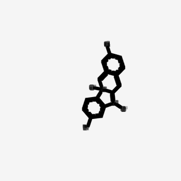 [O-][N+]1=C2C=c3ccc(Cl)cc3=C[N+]2([O-])c2ccc(Br)cc21